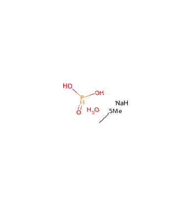 CSC.O.O=[PH](O)O.[NaH]